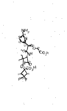 CC1(C)[C@H](NC(=O)/C(=N\OCC(=O)O)c2csc(N)n2)C(=O)N1OC1(C(=O)O)CC(F)(F)C1